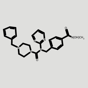 CN(O)C(=O)c1ccc(CN(C(=O)N2CCN(Cc3ccccc3)CC2)c2ncccn2)cc1